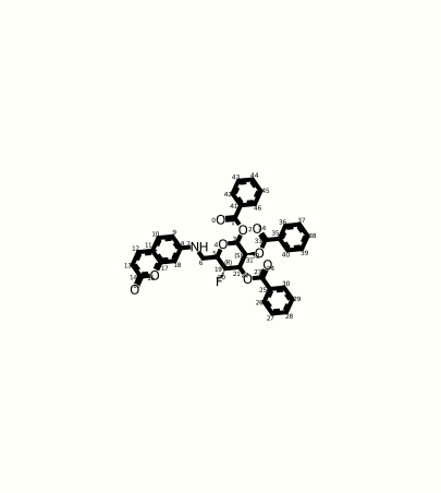 O=C(OC1OC(CNc2ccc3ccc(=O)oc3c2)[C@@H](F)C(OC(=O)c2ccccc2)[C@@H]1OC(=O)c1ccccc1)c1ccccc1